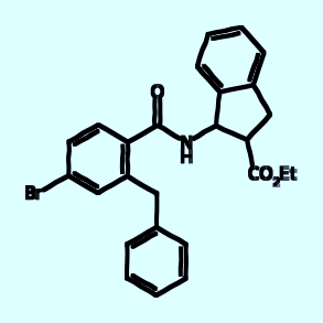 CCOC(=O)C1Cc2ccccc2C1NC(=O)c1ccc(Br)cc1Cc1ccccc1